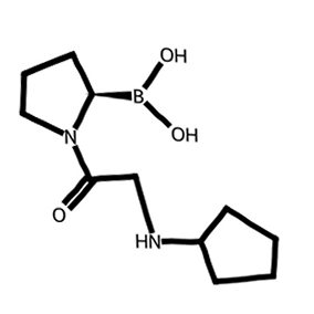 O=C(CNC1CCCC1)N1CCC[C@H]1B(O)O